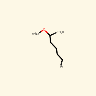 CCCCCCOC(CCCCC(C)C)C(=O)O